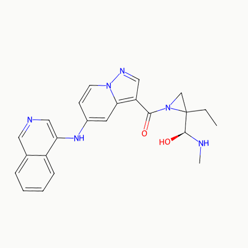 CCC1([C@H](O)NC)CN1C(=O)c1cnn2ccc(Nc3cncc4ccccc34)cc12